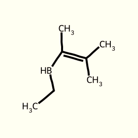 CCBC(C)=C(C)C